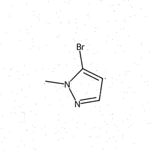 Cn1nc[c]c1Br